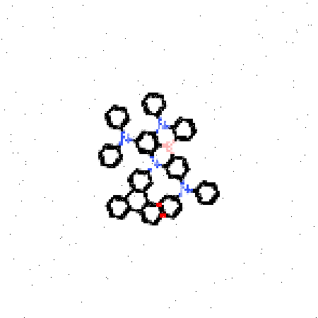 c1ccc(N(c2ccccc2)c2ccc3c(c2)N(c2ccc4c5ccccc5c5ccccc5c4c2)c2cc(N(c4ccccc4)c4ccccc4)cc4c2B3c2ccccc2N4c2ccccc2)cc1